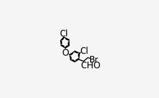 O=CC(CBr)c1ccc(Oc2ccc(Cl)cc2)cc1Cl